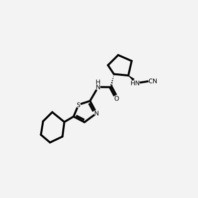 N#CN[C@@H]1CCC[C@H]1C(=O)Nc1ncc(C2CCCCC2)s1